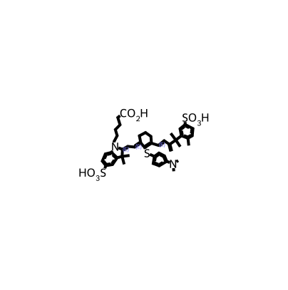 C=C(/C=C/C1=C(Sc2ccc(N(C)C)cc2)C(=C/C=C2/N(CCCCCC(=O)O)c3ccc(S(=O)(=O)O)cc3C2(C)C)/CCC1)C(C)(C)c1cc(S(=O)(=O)O)ccc1C